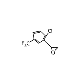 FC(F)(F)c1ccc(Cl)c(C2CO2)c1